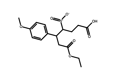 CCOC(=O)CC(c1ccc(OC)cc1)C(CCC(=O)O)[N+](=O)[O-]